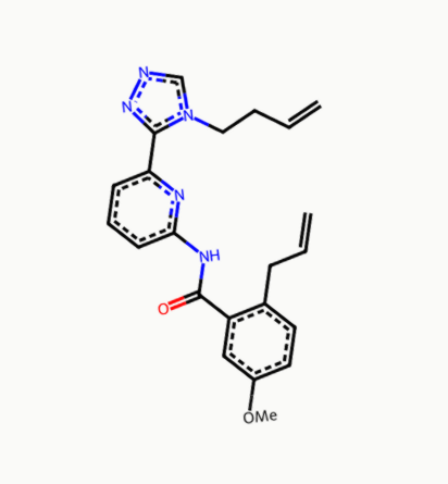 C=CCCn1cnnc1-c1cccc(NC(=O)c2cc(OC)ccc2CC=C)n1